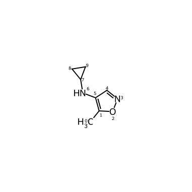 Cc1oncc1NC1CC1